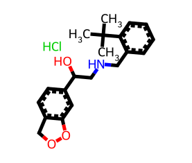 CC(C)(C)c1ccccc1CNCC(O)c1ccc2c(c1)OOC2.Cl